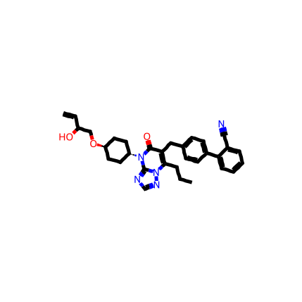 C=CC(O)CO[C@H]1CC[C@H](n2c(=O)c(Cc3ccc(-c4ccccc4C#N)cc3)c(CCC)n3ncnc32)CC1